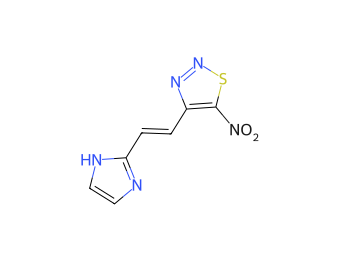 O=[N+]([O-])c1snnc1C=Cc1ncc[nH]1